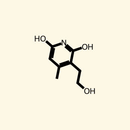 Cc1cc(O)nc(O)c1CCO